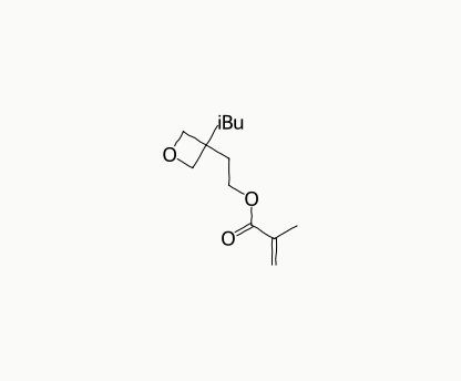 C=C(C)C(=O)OCCC1(C(C)CC)COC1